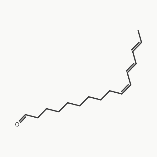 CC=C/C=C/C=C\CCCCCCCCC=O